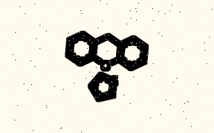 c1ccc2c(c1)Cc1ccccc1O2.c1ccsc1